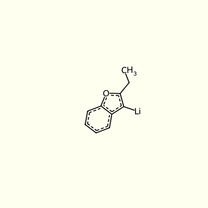 [Li][c]1c(CC)oc2ccccc12